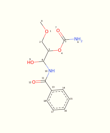 COCC(OC(N)=O)C(O)NC(=O)c1ccccc1